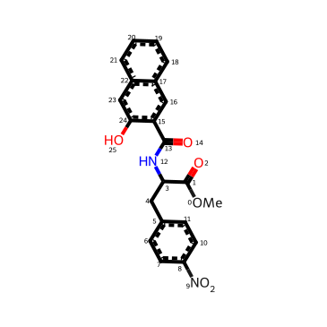 COC(=O)C(Cc1ccc([N+](=O)[O-])cc1)NC(=O)c1cc2ccccc2cc1O